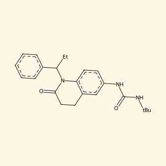 CCC(c1ccccc1)N1C(=O)CCc2cc(NC(=O)NC(C)(C)C)ccc21